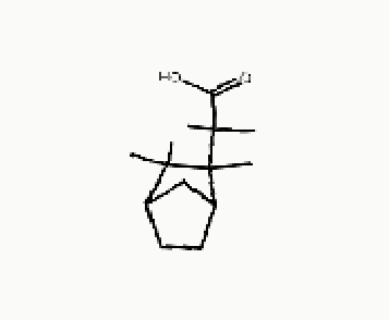 CC(C)(C(=O)O)C1(C)C2CCC(C2)C1(C)C